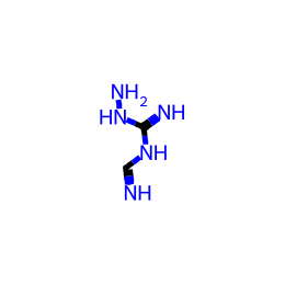 N=CNC(=N)NN